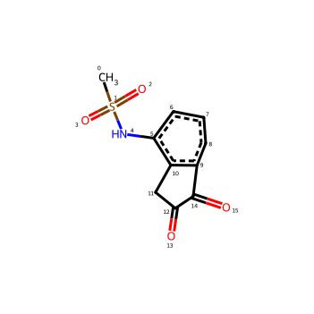 CS(=O)(=O)Nc1cccc2c1CC(=O)C2=O